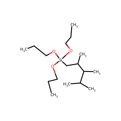 CCCO[Si](CC(C)C(C)C(C)C)(OCCC)OCCC